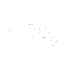 CCCCCCCCCCCCCCCCCCC[CH2][Pd][CH2]CCCCCCCCCCCCCCCCCCC.CCCCCCc1cc(C2=C(CC)C(CC)=C(c3cc(C)c(C)c(C)c3)[N+]2=[N-])cc(CCCCCC)c1CCCCCC